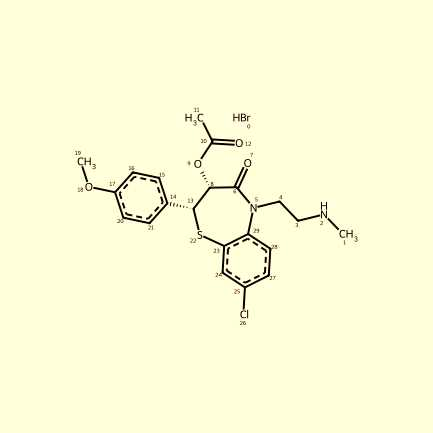 Br.CNCCN1C(=O)[C@@H](OC(C)=O)[C@@H](c2ccc(OC)cc2)Sc2cc(Cl)ccc21